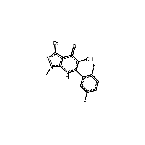 CCc1nn(C)c2[nH]c(-c3cc(F)ccc3F)c(O)c(=O)c12